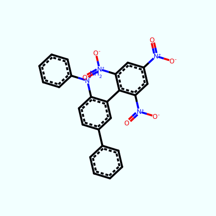 NN(c1ccccc1)c1ccc(-c2ccccc2)cc1-c1c([N+](=O)[O-])cc([N+](=O)[O-])cc1[N+](=O)[O-]